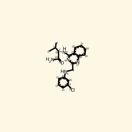 CC(C)[C@H](Nc1nc(CNc2cccc(Cl)c2)nc2ccccc12)C(N)=O